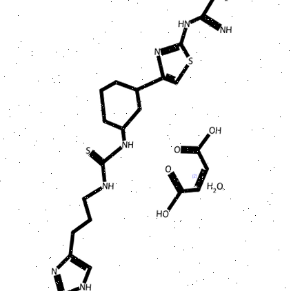 N=C(N)Nc1nc(C2CCCC(NC(=S)NCCCc3c[nH]cn3)C2)cs1.O.O=C(O)/C=C\C(=O)O